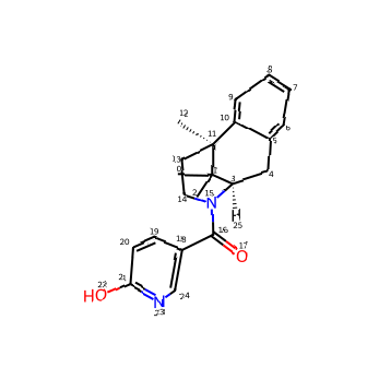 CC1(C)[C@H]2Cc3ccccc3[C@]1(C)CCN2C(=O)c1ccc(O)nc1